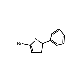 BrC1=CCC(c2ccccc2)S1